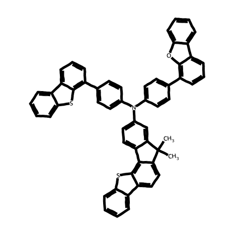 CC1(C)c2cc(N(c3ccc(-c4cccc5c4oc4ccccc45)cc3)c3ccc(-c4cccc5c4sc4ccccc45)cc3)ccc2-c2c1ccc1c2sc2ccccc21